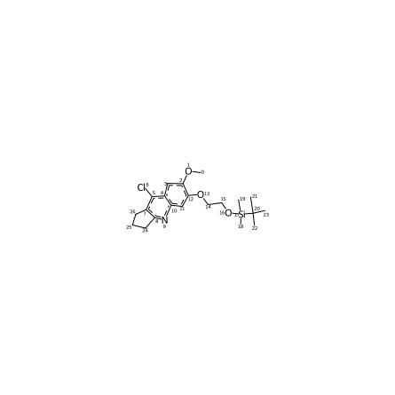 COc1cc2c(Cl)c3c(nc2cc1OCCO[Si](C)(C)C(C)(C)C)CCC3